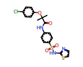 CC(C)(Oc1ccc(Cl)cc1)C(=O)Nc1ccc(S(=O)(=O)Nc2nccs2)cc1